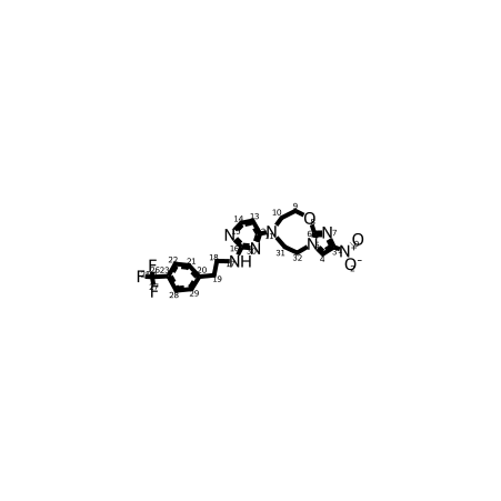 O=[N+]([O-])c1cn2c(n1)OCCN(c1ccnc(NCCc3ccc(C(F)(F)F)cc3)n1)CC2